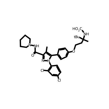 Cc1c(C(=O)NN2CCCCC2)nn(-c2ccc(Cl)cc2Cl)c1-c1ccc(OCCC(C)(NC(=O)O)C(C)(C)C)cc1